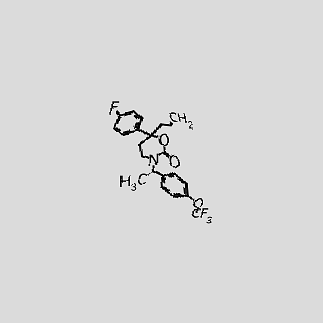 C=CCC1(c2ccc(F)cc2)CCN([C@@H](C)c2ccc(OC(F)(F)F)cc2)C(=O)O1